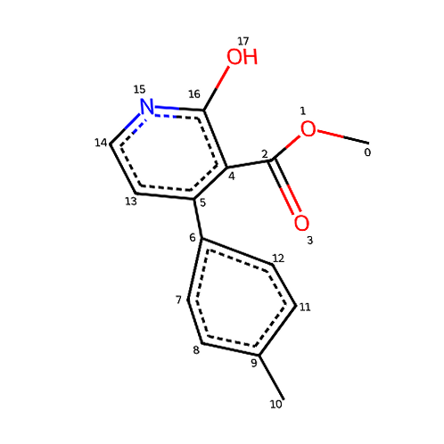 COC(=O)c1c(-c2ccc(C)cc2)ccnc1O